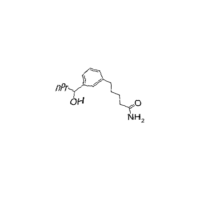 CCCC(O)c1cccc(CCCCC(N)=O)c1